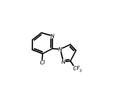 FC(F)(F)c1c[c]n(-c2ncccc2Cl)n1